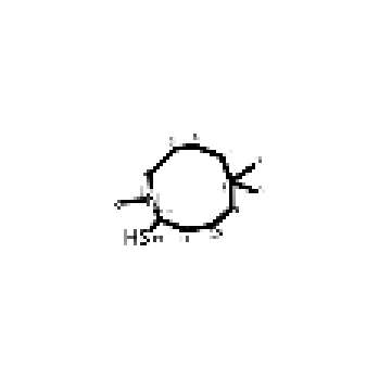 CN1CCCCC(C)(C)CCCC1S